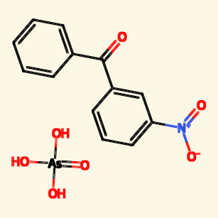 O=C(c1ccccc1)c1cccc([N+](=O)[O-])c1.O=[As](O)(O)O